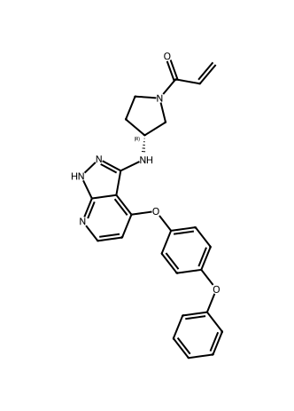 C=CC(=O)N1CC[C@@H](Nc2n[nH]c3nccc(Oc4ccc(Oc5ccccc5)cc4)c23)C1